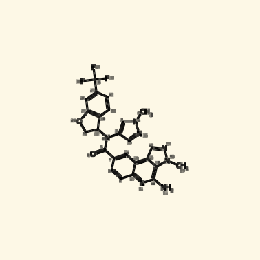 Cn1cc(N(C(=O)c2ccc3nc(N)c4c(cnn4C)c3c2)C2COc3cc(C(F)(F)F)ccc32)cn1